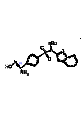 CCCCN(c1cc2ccccc2s1)S(=O)(=O)c1ccc(/C(N)=N/O)cc1